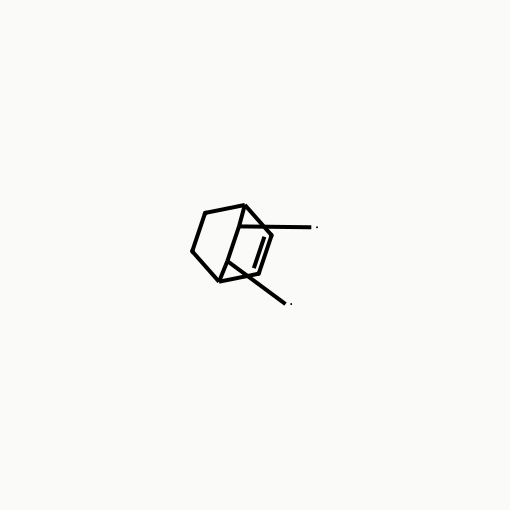 [CH2]C1C2C=CC(CC2)C1[CH2]